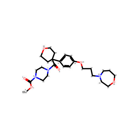 CC(C)(C)OC(=O)N1CCN(C(=O)C2(c3ccc(OCCCN4CCCOCC4)cc3)CCOCC2)CC1